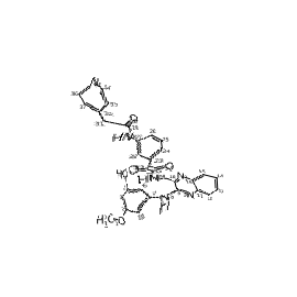 COc1cc(O)cc(Nc2nc3ccccc3nc2NS(=O)(=O)c2cccc(NC(=O)Cc3ccncc3)c2)c1